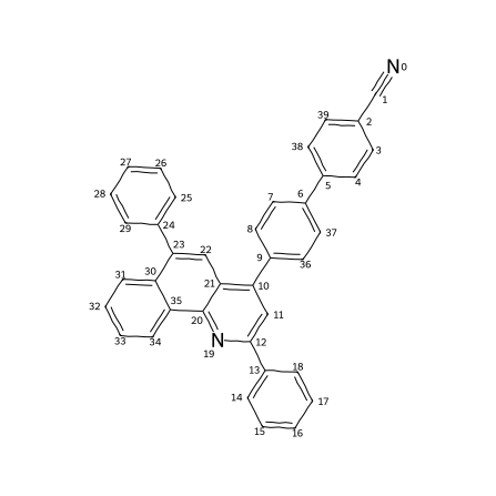 N#Cc1ccc(-c2ccc(-c3cc(-c4ccccc4)nc4c3cc(-c3ccccc3)c3ccccc34)cc2)cc1